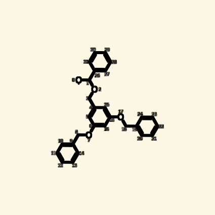 [O]C(OCc1cc(OCc2ccccc2)cc(OCc2ccccc2)c1)c1ccccc1